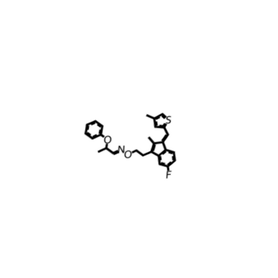 CC1=C(CCON=CC(C)Oc2ccccc2)c2cc(F)ccc2C1=Cc1cc(C)cs1